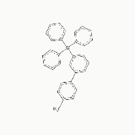 Cc1ccc(-c2cccc([Si](c3ccccc3)(c3ccccc3)c3ccccc3)c2)cc1